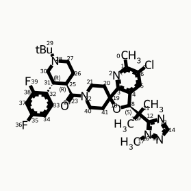 Cc1nc2c(cc1Cl)[C@@H](C(C)(C)c1ncnn1C)OC21CCN(C(=O)[C@@H]2CCN(C(C)(C)C)C[C@H]2c2ccc(F)cc2F)CC1